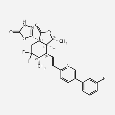 C[C@H]1OC(=O)[C@]2(c3n[nH]c(=O)o3)CC(F)(F)[C@@H](C)[C@H](C=Cc3ccc(-c4cccc(F)c4)cn3)[C@H]12